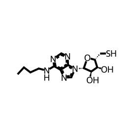 CCCCNc1ncnc2c1ncn2[C@@H]1O[C@H](CS)[C@@H](O)[C@H]1O